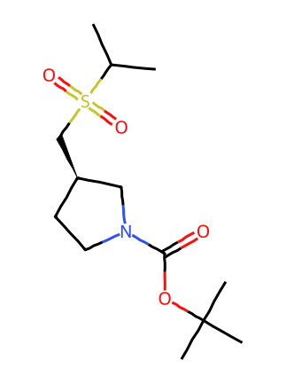 CC(C)S(=O)(=O)C[C@@H]1CCN(C(=O)OC(C)(C)C)C1